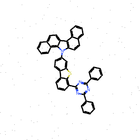 c1ccc(-c2nc(-c3ccccc3)nc(-c3cccc4c3sc3cc(-n5c6ccc7ccccc7c6c6ccc7ccccc7c65)ccc34)n2)cc1